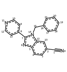 N#Cc1ccc2nc(-c3ccncc3)n(Cc3ccccc3)c2c1